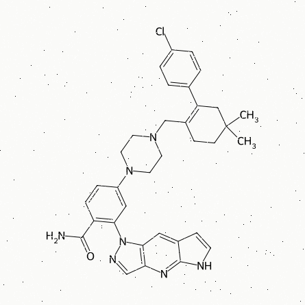 CC1(C)CCC(CN2CCN(c3ccc(C(N)=O)c(-n4ncc5nc6[nH]ccc6cc54)c3)CC2)=C(c2ccc(Cl)cc2)C1